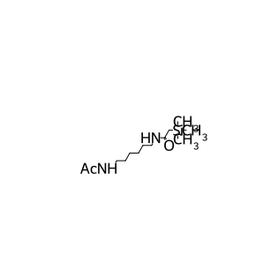 CC(=O)NCCCCCCNC(=O)C[Si](C)(C)C